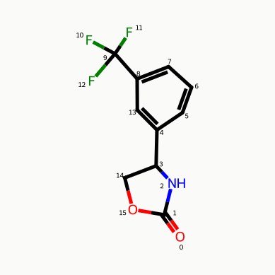 O=C1NC(c2cccc(C(F)(F)F)c2)CO1